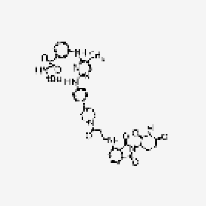 Cc1cnc(Nc2ccc(N3CCN(C(=O)CCNc4cccc5c4C(=O)N(C4CCC(=O)NC4=O)C5=O)CC3)cc2)nc1Nc1cccc(S(=O)(=O)NC(C)(C)C)c1